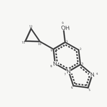 Oc1cc2nccn2nc1C1CC1